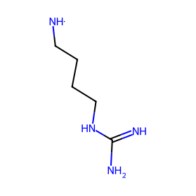 [NH]CCCCNC(=N)N